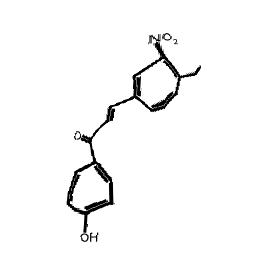 Cc1ccc(/C=C/C(=O)c2ccc(O)cc2)cc1[N+](=O)[O-]